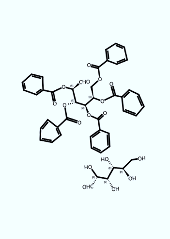 O=C[C@H](O)[C@@H](O)[C@H](O)[C@H](O)CO.O=C[C@H](OC(=O)c1ccccc1)[C@@H](OC(=O)c1ccccc1)[C@H](OC(=O)c1ccccc1)[C@@H](COC(=O)c1ccccc1)OC(=O)c1ccccc1